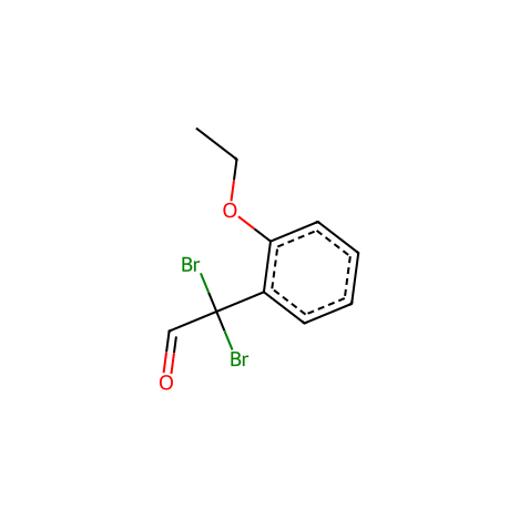 CCOc1ccccc1C(Br)(Br)C=O